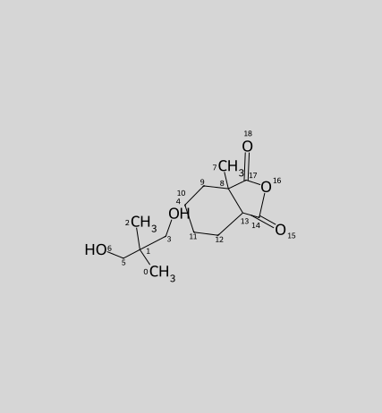 CC(C)(CO)CO.CC12CCCCC1C(=O)OC2=O